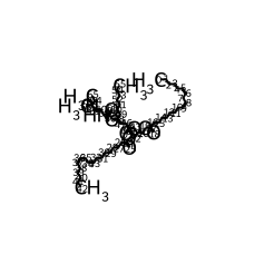 CCCCC/C=C\C/C=C\CCCCCCCC(=O)OCC(COC(=O)CCCCCCC/C=C\C/C=C\CCCCC)OC(=O)C/C=C(\CCCCCCC)OC(=O)NCCN(C)CC